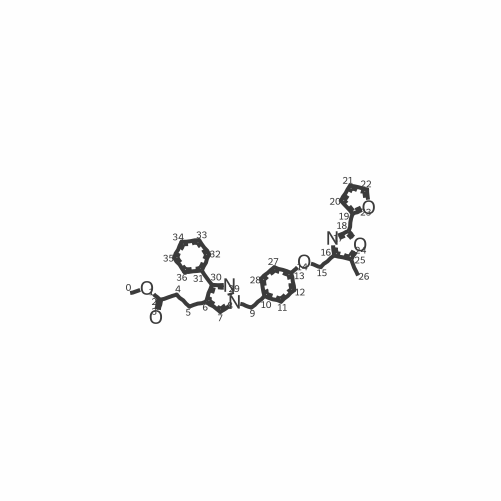 COC(=O)CCc1cn(Cc2ccc(OCc3nc(-c4ccco4)oc3C)cc2)nc1-c1ccccc1